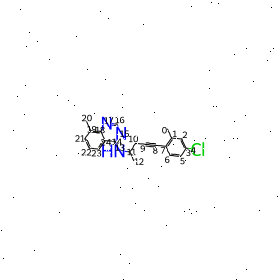 Cc1cc(Cl)ccc1C#CCC(C)Nc1ncnc2c(C)cccc12